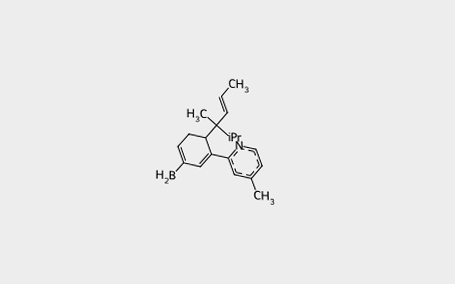 BC1=CCC(C(C)(C=CC)C(C)C)C(c2cc(C)ccn2)=C1